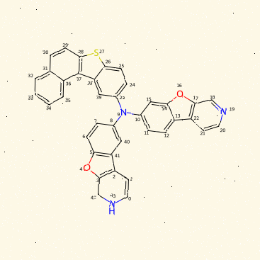 C1=Cc2c(oc3ccc(N(c4ccc5c(c4)oc4cnccc45)c4ccc5sc6ccc7ccccc7c6c5c4)cc23)CN1